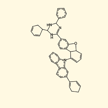 C1=CCC(C2NC(c3ccc4c(c3)OC3C=CC=C(n5c6ccccc6c6ccc(C7=CCCC=C7)cc65)C43)=NC(c3ccccc3)N2)C=C1